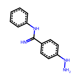 N=C(Nc1ccccc1)c1ccc(NN)cc1